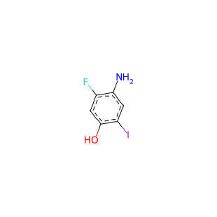 Nc1cc(I)c(O)cc1F